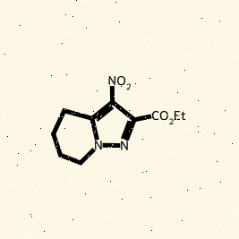 CCOC(=O)c1nn2c(c1[N+](=O)[O-])CCCC2